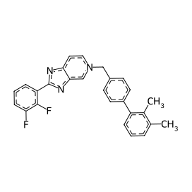 Cc1cccc(-c2ccc(Cn3ccc4nc(-c5cccc(F)c5F)nc-4c3)cc2)c1C